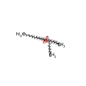 CCCCCCCCCCCCCCCCC(O)C(=O)OCC(CCCCCCCC)CCCCCCCCCC